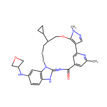 Cc1cc2cc(n1)-c1cnn(C)c1OCC(C1CC1)CCCN1/C(=N/C2=O)Nc2ccc(NC3COC3)cc21